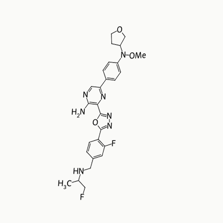 CON(c1ccc(-c2cnc(N)c(-c3nnc(-c4ccc(CNC(C)CF)cc4F)o3)n2)cc1)C1CCOC1